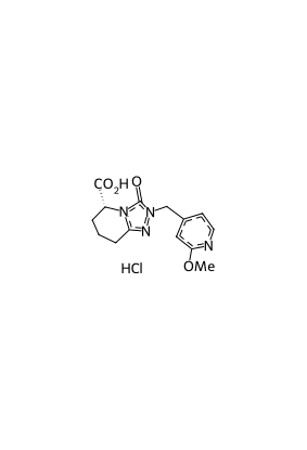 COc1cc(Cn2nc3n(c2=O)[C@@H](C(=O)O)CCC3)ccn1.Cl